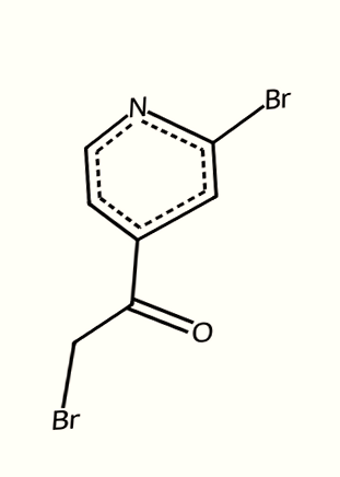 O=C(CBr)c1ccnc(Br)c1